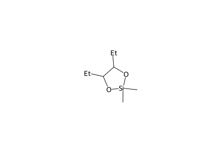 CCC1O[Si](C)(C)OC1CC